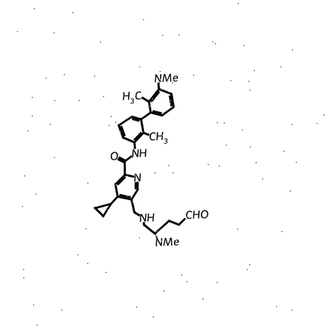 CNc1cccc(-c2cccc(NC(=O)c3cc(C4CC4)c(CNC[C@H](CCC=O)NC)cn3)c2C)c1C